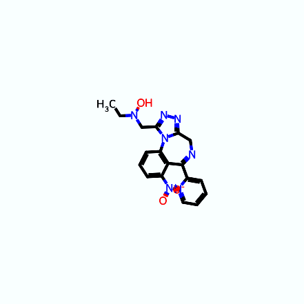 CCN(O)Cc1nnc2n1-c1cccc([N+](=O)[O-])c1C(c1ccccn1)=NC2